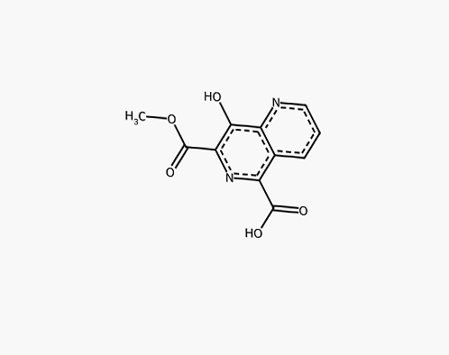 COC(=O)c1nc(C(=O)O)c2cccnc2c1O